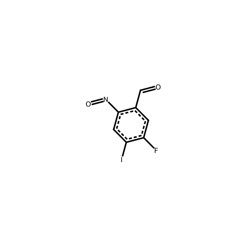 O=Cc1cc(F)c(I)cc1N=O